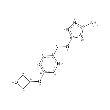 Nc1nnc(OCc2ccc(OC3COC3)cn2)s1